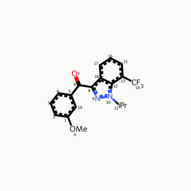 COc1cccc(C(=O)c2nn(C(C)C)c3c(C(F)(F)F)cccc23)c1